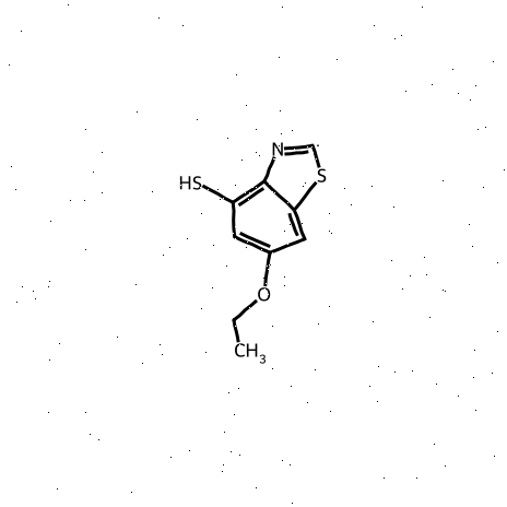 CCOc1cc(S)c2n[c]sc2c1